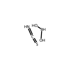 N=C=S.OBO